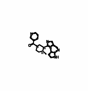 C[C@H]1CCN(C(=O)c2cccnc2)C[C@H]1c1ncc2cnc3[nH]ccc3n12